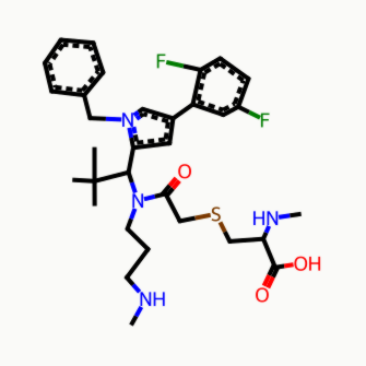 CNCCCN(C(=O)CSCC(NC)C(=O)O)C(c1cc(-c2cc(F)ccc2F)cn1Cc1ccccc1)C(C)(C)C